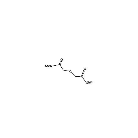 CNC(=O)COCC(=O)OC